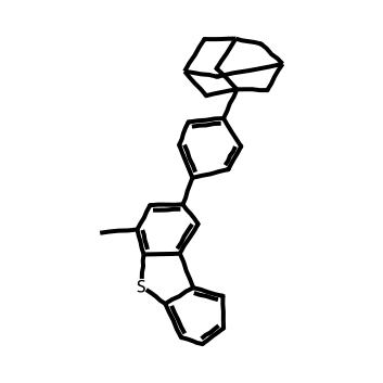 Cc1cc(-c2ccc(C34CC5CC(CC(C5)C3)C4)cc2)cc2c1sc1ccccc12